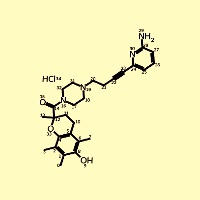 Cc1c(C)c2c(c(C)c1O)CCC(C)(C(=O)N1CCN(CCC#Cc3cccc(N)n3)CC1)O2.Cl